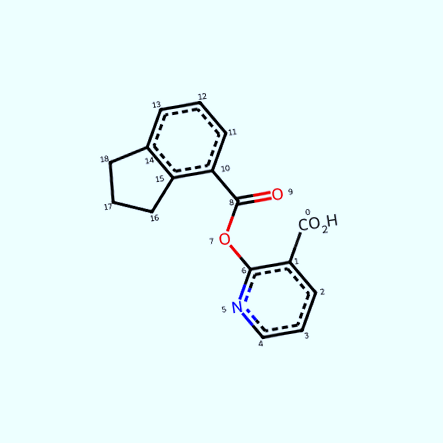 O=C(O)c1cccnc1OC(=O)c1cccc2c1CCC2